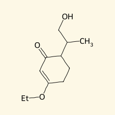 CCOC1=CC(=O)C(C(C)CO)CC1